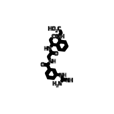 N=C(N)Nc1cccc(C(=O)NCC(=O)NC(CC(=O)O)c2ccccc2OCC(=O)O)c1